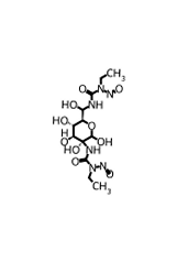 CCN(N=O)C(=O)NC(O)[C@H]1OC(O)[C@@](O)(NC(=O)N(CC)N=O)[C@@H](O)[C@@H]1O